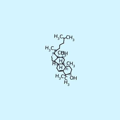 CC(C)CCC[C@@H](C)[C@H]1CC[C@H]2[C@@H]3CC=C4C(C)(C)[C@@H](O)CC[C@]4(C)[C@H]3C[C@@H](O)[C@]12C